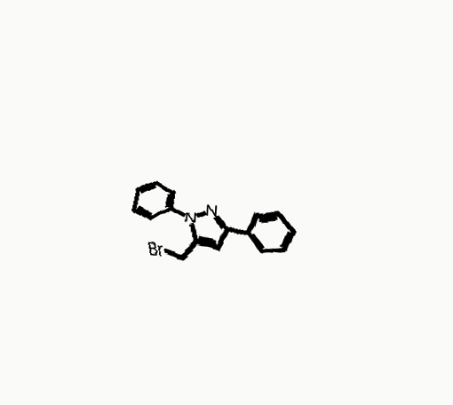 BrCc1cc(-c2ccccc2)nn1-c1ccccc1